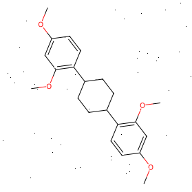 COc1ccc(C2CCC(c3ccc(OC)cc3OC)CC2)c(OC)c1